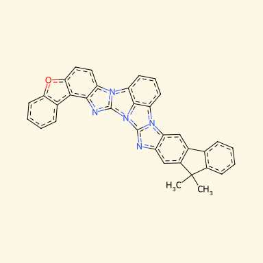 CC1(C)c2ccccc2-c2cc3c(cc21)nc1n3c2cccc3c2n1c1nc2c4c(ccc2n31)oc1ccccc14